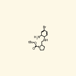 CC(C)(C)OC(=O)N1CCCC1CNC1C=CC(Br)=CC1N